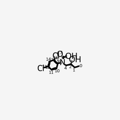 CC[C@H](O)CN(C(=O)O)c1ccc(Cl)cc1Cl